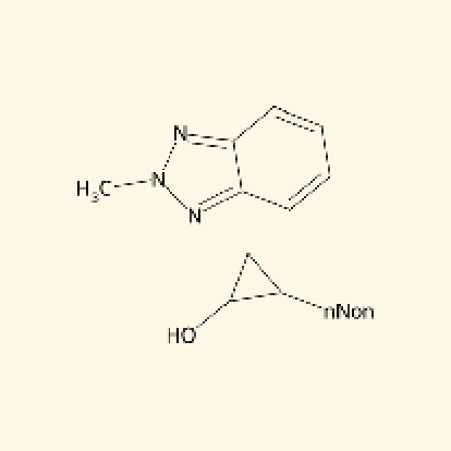 CCCCCCCCCC1CC1O.Cn1nc2ccccc2n1